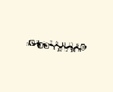 COCCOCOCCCCCCCCCC=O